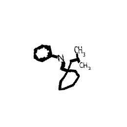 C=C(C)CC1(/C=N/c2ccccc2)CCCCC1